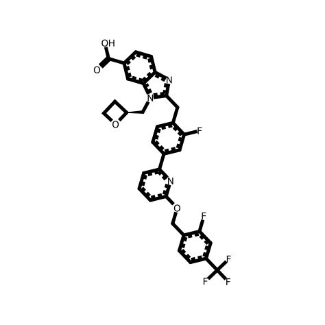 O=C(O)c1ccc2nc(Cc3ccc(-c4cccc(OCc5ccc(C(F)(F)F)cc5F)n4)cc3F)n(C[C@@H]3CCO3)c2c1